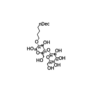 CCCCCCCCCCCCCCO[C@@H]1[C@@H](O)[C@H](O[C@H]2O[C@H](CO)[C@@H](O)[C@H](O)[C@H]2O)[C@@H](CO)O[C@@H]1O